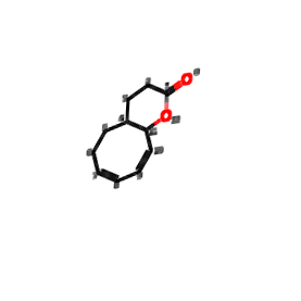 O=C1CCC2CC/C=C\C=C/C2O1